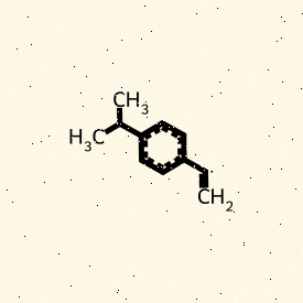 C=[C]c1ccc(C(C)C)cc1